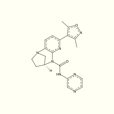 Cc1noc(C)c1-c1ccc2c(n1)N(C(=O)Nc1cnccn1)[C@H]1CCN2C1